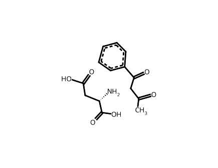 CC(=O)CC(=O)c1ccccc1.N[C@@H](CC(=O)O)C(=O)O